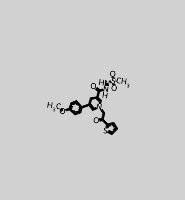 COc1ccc(C2=CN(CC(=O)c3cccs3)C=C(C(=O)NNS(C)(=O)=O)C2)cc1